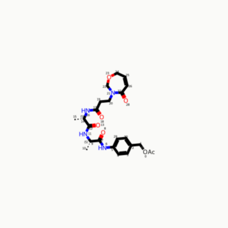 CC(=O)OCc1ccc(NC(=O)[C@H](C)NC(=O)[C@H](C)NC(=O)CCN2COCC=CC2=O)cc1